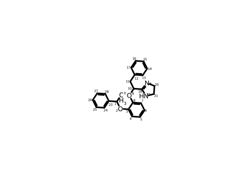 CC(Oc1ccccc1OC(Cc1ccccc1)C1=NCCN1)c1ccccc1